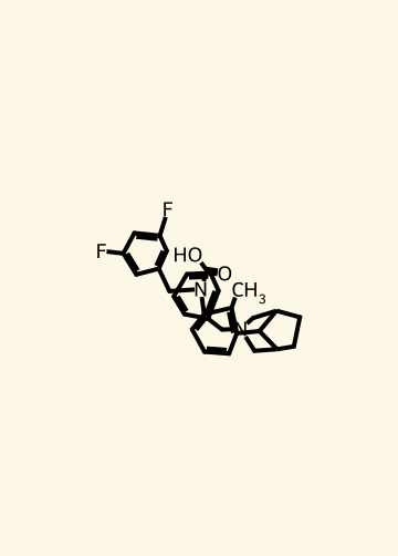 Cc1c(C2C3CCC2CN(Cc2ccccc2)C3)cccc1N(Cc1cc(F)cc(F)c1)C(=O)O